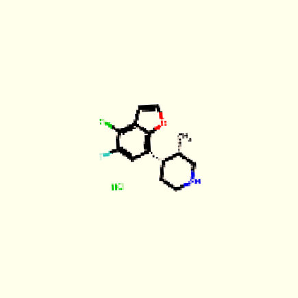 C[C@@H]1CNCC[C@@H]1c1cc(F)c(Cl)c2ccoc12.Cl